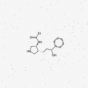 CCC(=O)N[C@@H]1CNC[C@H]1CCC(O)c1ccccc1